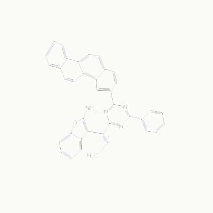 C/C=C(/c1nc(-c2ccccc2)nc(-c2ccc3ccc4c5ccccc5ccc4c3c2)n1)c1c(N)oc2ccccc12